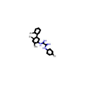 CCc1ccc(NC(=N)C(=N)Nc2cc(-c3ccccc3C(C)C)c(CC)cc2C(C)(C)C)cc1